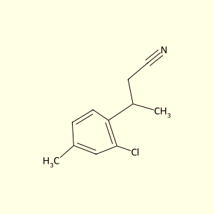 Cc1ccc(C(C)CC#N)c(Cl)c1